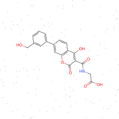 O=C(O)CNC(=O)c1c(O)c2ccc(-c3cccc(CO)c3)cc2oc1=O